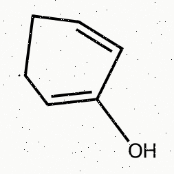 OC1=C[CH]CC=C1